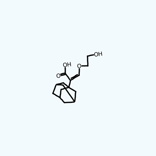 O=C(O)C(=COCCO)C12CC3CC(CC(C3)C1)C2